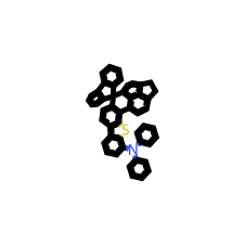 c1ccc(N(c2ccccc2)c2cccc3c2sc2c4c(ccc23)C2(c3ccccc3-c3ccccc32)c2ccc3c5c(ccc-4c25)CC3)cc1